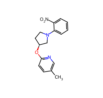 Cc1ccc(O[C@H]2CCN(c3ccccc3[N+](=O)[O-])C2)nc1